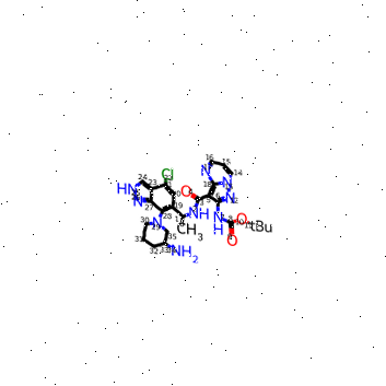 CC(NC(=O)c1c(NC(=O)OC(C)(C)C)nn2cccnc12)c1cc(Cl)c2c[nH]nc2c1N1CCCC(N)C1